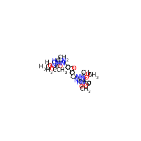 C=C1C[C@H](C)N(C(=O)[C@@H](NC(=O)OC)C(C)C)[C@@H]1c1ncc(-c2ccc3c(c2)COc2cc4c(cc2-3)CCc2nc([C@H](C)N(C[C@H](C)COC)C(=O)[C@H](NC(=O)OC)c3ccccc3)[nH]c2-4)[nH]1